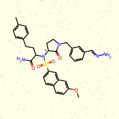 COc1ccc2ccc(S(=O)(=O)N(C(CCc3ccc(C)cc3)C(N)=O)[C@H]3CCN(Cc4cccc(C=NN)c4)C3=O)cc2c1